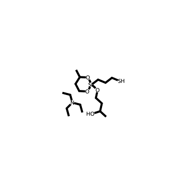 CC(O)CCO[Si]1(CCCS)OCCC(C)O1.CCN(CC)CC